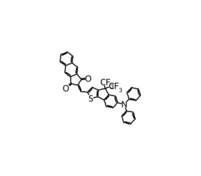 O=C1C(=Cc2cc3c(s2)-c2ccc(N(c4ccccc4)c4ccccc4)cc2C3(C(F)(F)F)C(F)(F)F)C(=O)c2cc3ccccc3cc21